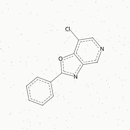 Clc1cncc2nc(-c3ccccc3)oc12